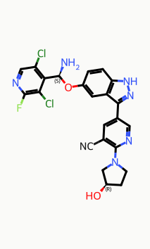 N#Cc1cc(-c2n[nH]c3ccc(O[C@H](N)c4c(Cl)cnc(F)c4Cl)cc23)cnc1N1CC[C@@H](O)C1